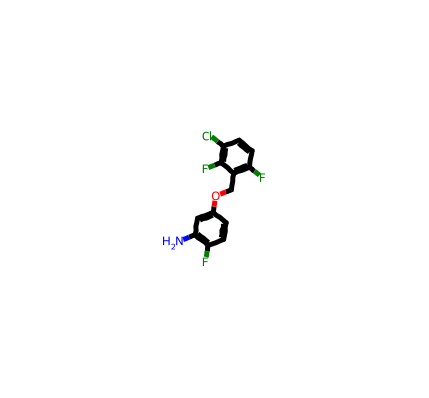 Nc1cc(OCc2c(F)ccc(Cl)c2F)ccc1F